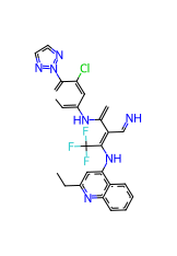 C=C(NC(=C/C)/C=C(/Cl)C(=C)n1nccn1)/C(C=N)=C(/Nc1cc(CC)nc2ccccc12)C(F)(F)F